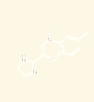 Cc1ccc2c(c1)N(C)C=C(C1=NCCN1)O2